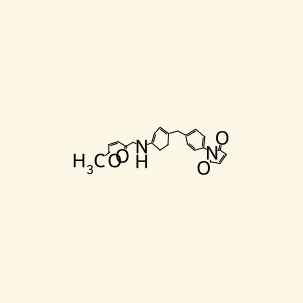 CC(=O)/C=C\C(=O)CNC1=CC=C(Cc2ccc(N3C(=O)C=CC3=O)cc2)CC1